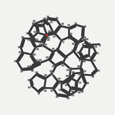 Cc1ccc(-c2c(-n3c4ccccc4c4ccc5ccccc5c43)c(-n3c4ccccc4c4ccc5ccccc5c43)c(C#N)c(-n3c4ccccc4c4ccc5ccccc5c43)c2-n2c3ccccc3c3ccc4ccccc4c32)c(C)n1